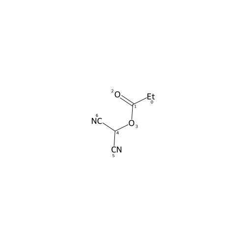 CCC(=O)OC(C#N)C#N